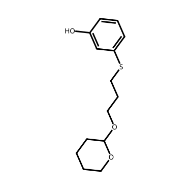 Oc1cccc(SCCCOC2CCCCO2)c1